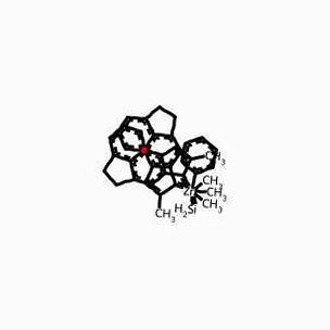 CC1=Cc2c(cc3c4c(cccc24)CC3)[C]1=[Zr]([CH3])([CH3])([CH3])(=[SiH2])(=[C]1C(C)=Cc2c1cc1c3c(cccc23)CC1)[c]1ccccc1